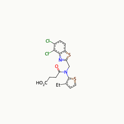 CCc1ccsc1N(Cc1nc2c(Cl)c(Cl)ccc2s1)C(=O)CCC(=O)O